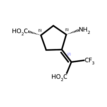 N[C@H]1C[C@@H](C(=O)O)C/C1=C(\C(=O)O)C(F)(F)F